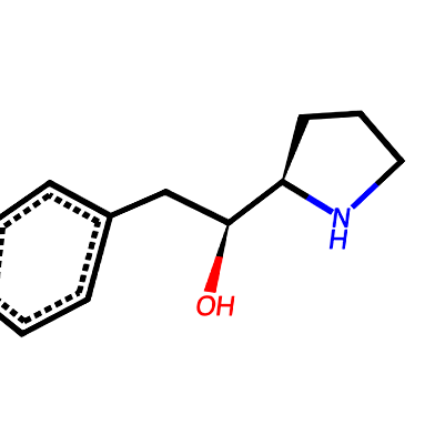 O[C@@H](Cc1ccccc1)[C@H]1CCCN1